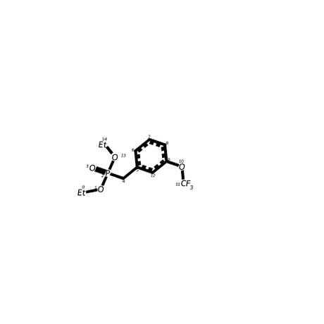 CCOP(=O)(Cc1cccc(OC(F)(F)F)c1)OCC